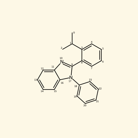 CC(C)c1ccccc1-c1nc2ccccc2n1-c1ccccc1